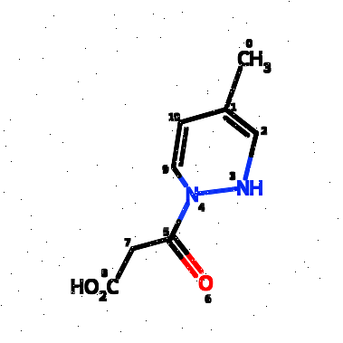 CC1=CNN(C(=O)CC(=O)O)C=C1